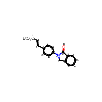 CCOC(=O)C=Cc1ccc(N2Cc3ccccc3C2=O)cc1